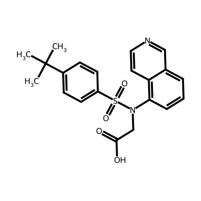 CC(C)(C)c1ccc(S(=O)(=O)N(CC(=O)O)c2cccc3cnccc23)cc1